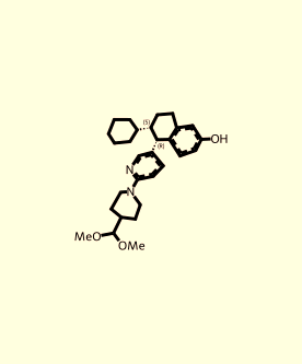 COC(OC)C1CCN(c2ccc([C@H]3c4ccc(O)cc4CC[C@H]3C3CCCCC3)cn2)CC1